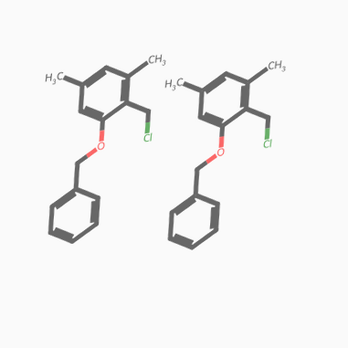 Cc1cc(C)c(CCl)c(OCc2ccccc2)c1.Cc1cc(C)c(CCl)c(OCc2ccccc2)c1